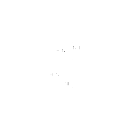 CNC(N)CCCC(N)N